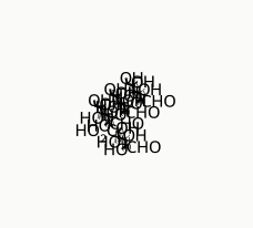 O=C[C@@H](O)[C@@H](O)[C@H](O)[C@H](O)CO.O=C[C@H](O)[C@@H](O)[C@@H](O)[C@H](O)CO.O=C[C@H](O)[C@@H](O)[C@H](O)[C@H](O)C(=O)O.O=C[C@H](O)[C@@H](O)[C@H](O)[C@H](O)CO